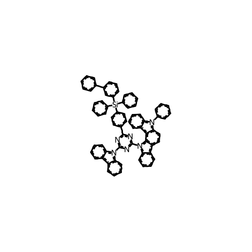 c1ccc(-c2cccc([Si](c3ccccc3)(c3ccccc3)c3ccc(-c4nc(-n5c6ccccc6c6ccccc65)nc(-n5c6ccccc6c6ccc7c(c8ccccc8n7-c7ccccc7)c65)n4)cc3)c2)cc1